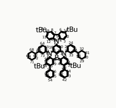 CC(C)(C)c1ccc2c(c1)c1cc(C(C)(C)C)ccc1n2-c1cc2c3c(c1)N(c1cccc(C4CCCCC4)c1)c1cc(C(C)(C)C)c(-c4ccccc4)cc1B3c1cc(-c3ccccc3)c(C(C)(C)C)cc1N2c1cccc(C2CCCCC2)c1